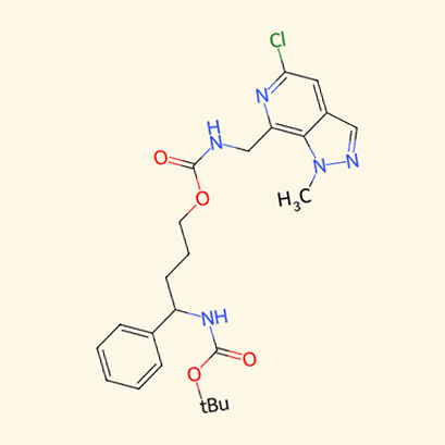 Cn1ncc2cc(Cl)nc(CNC(=O)OCCCC(NC(=O)OC(C)(C)C)c3ccccc3)c21